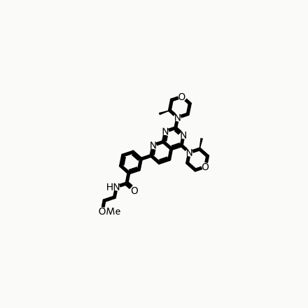 COCCNC(=O)c1cccc(-c2ccc3c(N4CCOC[C@@H]4C)nc(N4CCOC[C@@H]4C)nc3n2)c1